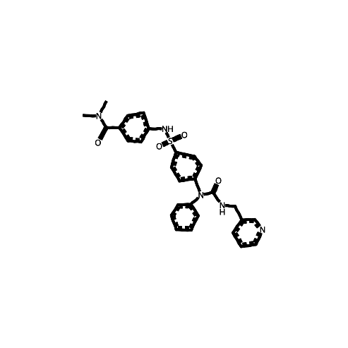 CN(C)C(=O)c1ccc(NS(=O)(=O)c2ccc(N(C(=O)NCc3cccnc3)c3ccccc3)cc2)cc1